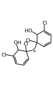 OC1C(Cl)=CC=CC1(Cl)SC1(Cl)C=CC=C(Cl)C1O